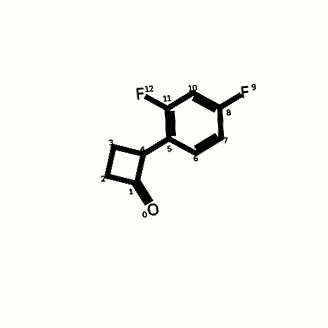 O=C1CCC1c1ccc(F)cc1F